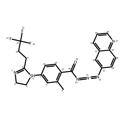 Cc1cc([SH]2CCN=C2CCC(F)(F)F)ccc1C(=O)N=[N+]=Nc1ccc2ncccc2c1